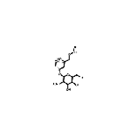 CC(=O)NC1C(O[C@H](CO)C[C@@H](O)COPO)OC(CO)C(O)C1O